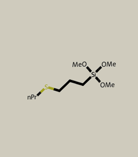 CCCSCCC[Si](OC)(OC)OC